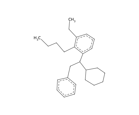 CCCCc1c(CC)cccc1[C](Cc1ccccc1)C1CCCCC1